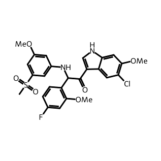 COc1cc(NC(C(=O)c2c[nH]c3cc(OC)c(Cl)cc23)c2ccc(F)cc2OC)cc(S(C)(=O)=O)c1